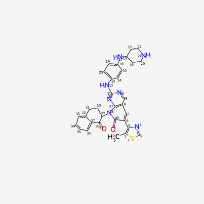 Cc1scnc1-c1cc2cnc(Nc3ccc(NC4CCNCC4)cc3)nc2n(C2CCc3ccccc3C2=O)c1=O